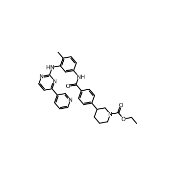 CCOC(=O)N1CCCC(c2ccc(C(=O)Nc3ccc(C)c(Nc4nccc(-c5cccnc5)n4)c3)cc2)C1